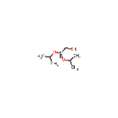 CC(C)O[SiH](CS)OC(C)C